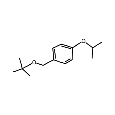 CC(C)Oc1ccc(COC(C)(C)C)cc1